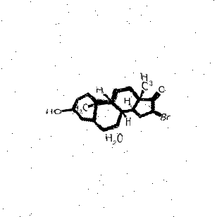 C[C@]12CCC(O)CC1CC[C@@H]1[C@H]2CC[C@]2(C)C(=O)C(Br)C[C@@H]12.O